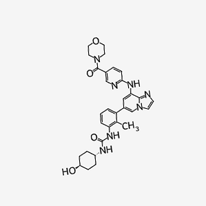 Cc1c(NC(=O)N[C@H]2CC[C@H](O)CC2)cccc1-c1cc(Nc2ccc(C(=O)N3CCOCC3)cn2)c2nccn2c1